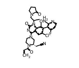 C=CC(=O)N1CCN(c2nc(=O)n3c4c(c(-c5c(F)ccnc5N)c(Cl)cc24)OCC3CN2CCCC2=O)C[C@@H]1CC#N